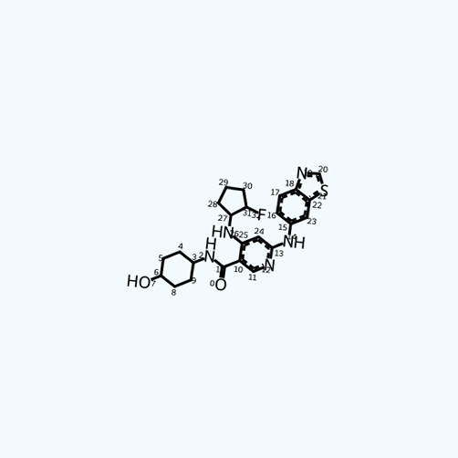 O=C(NC1CCC(O)CC1)c1cnc(Nc2ccc3ncsc3c2)cc1NC1CCCC1F